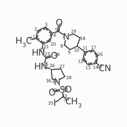 Cc1ccc(C(=O)N2CCC(c3ccc(C#N)cc3)CC2)cc1NC(=O)N[C@H]1CCN(S(=O)(=O)C(C)I)C1